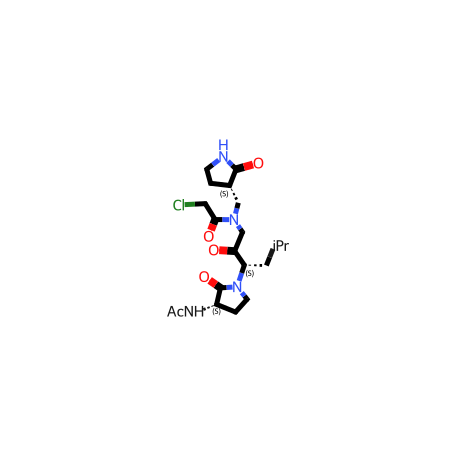 CC(=O)N[C@H]1CCN([C@@H](CC(C)C)C(=O)CN(C[C@@H]2CCNC2=O)C(=O)CCl)C1=O